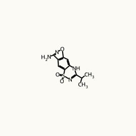 CC(C)C1=NS(=O)(=O)c2cc3c(N)noc3cc2N1